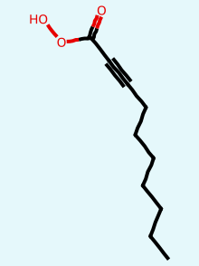 CCCCCCCC#CC(=O)OO